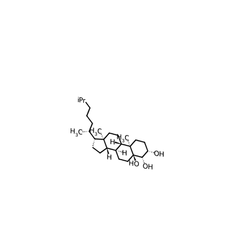 CC(C)CCC[C@@H](C)[C@H]1CC[C@H]2[C@@H]3CC[C@@]4(O)[C@@H](O)[C@@H](O)CC[C@]4(C)[C@H]3CC[C@]12C